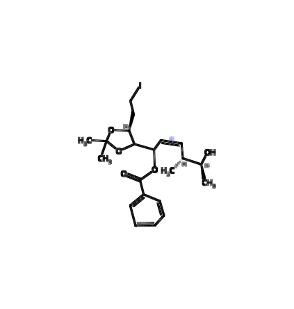 C[C@H](O)[C@H](C)/C=C\C(OC(=O)c1ccccc1)C1OC(C)(C)O[C@H]1CCI